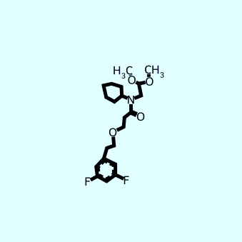 COC(CN(C(=O)CCOCCc1cc(F)cc(F)c1)C1CCCCC1)OC